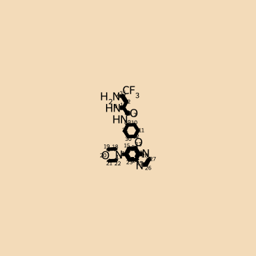 N=C(/C=C(\N)C(F)(F)F)C(=O)NC1CCC(Oc2cc(N3CCOCC3)cc3nccnc23)CC1